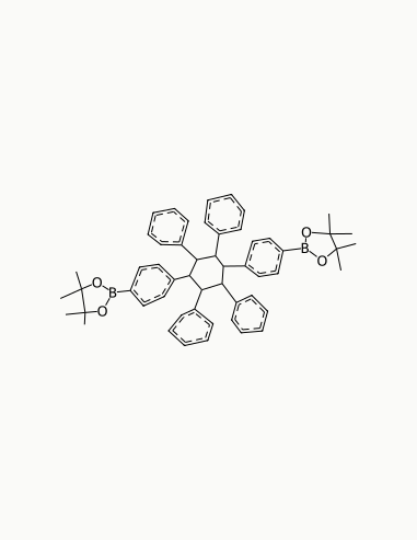 CC1(C)OB(c2ccc(C3C(c4ccccc4)C(c4ccccc4)C(c4ccc(B5OC(C)(C)C(C)(C)O5)cc4)C(c4ccccc4)C3c3ccccc3)cc2)OC1(C)C